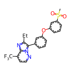 CCc1nc2c(C(F)(F)F)ccnn2c1-c1cccc(Oc2cccc(S(C)(=O)=O)c2)c1